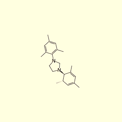 CC1=C[C@H](C)[C@@H](N2CCN(c3c(C)cc(C)cc3C)C2)C(C)=C1